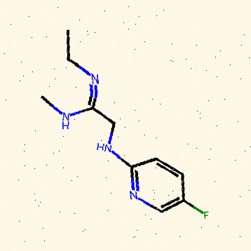 CC/N=C(/CNc1ccc(F)cn1)NC